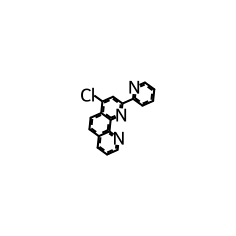 Clc1cc(-c2ccccn2)nc2c1ccc1cccnc12